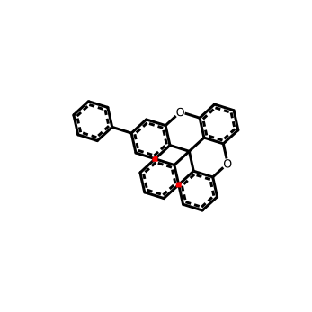 c1ccc(-c2ccc3c(c2)Oc2cccc4c2C3(c2ccccc2)c2ccccc2O4)cc1